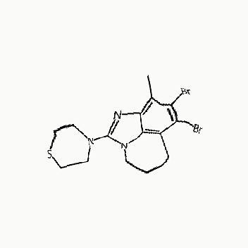 Cc1c(Br)c(Br)c2c3c1nc(N1CCSCC1)n3CCC2